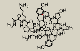 C[C@H](N)C(=O)N[C@@H](CCCCN)C(=O)N1CCC[C@H]1C(=O)N[C@@H](CO)C(=O)N[C@@H](Cc1ccc(O)cc1)C(=O)N1CCC[C@H]1C(=O)N1C[C@H](O)C[C@H]1C(=O)N[C@H](C(=O)N[C@@H](Cc1ccc(O)cc1)C(=O)N[C@@H](CCCCN)C(=O)O)[C@@H](C)O